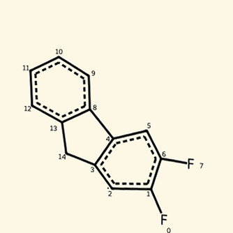 Fc1[c]c2c(cc1F)-c1ccccc1C2